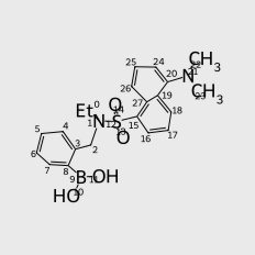 CCN(Cc1ccccc1B(O)O)S(=O)(=O)c1cccc2c(N(C)C)cccc12